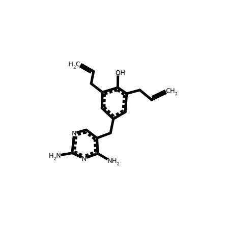 C=CCc1cc(Cc2cnc(N)nc2N)cc(CC=C)c1O